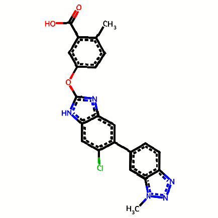 Cc1ccc(Oc2nc3cc(-c4ccc5nnn(C)c5c4)c(Cl)cc3[nH]2)cc1C(=O)O